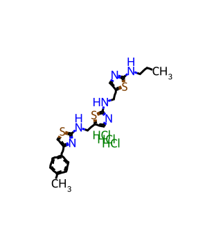 CCCNc1ncc(CNc2ncc(CNc3nc(-c4ccc(C)cc4)cs3)s2)s1.Cl.Cl.Cl